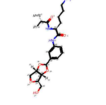 CN[C@H](C(=O)N[C@@H](CCCCN)C(=O)Nc1cccc(C2O[C@H]3[C@H](CO[C@@H]3CO)O2)c1)C(C)C